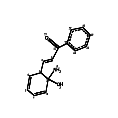 NC1(O)C=CC=CC1C=CC(=O)c1ccccc1